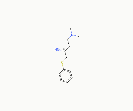 CN(C)CC[C@@H]([NH])CSc1ccccc1